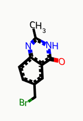 Cc1nc2ccc(CBr)cc2c(=O)[nH]1